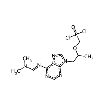 CC(Cn1cnc2c(N=CN(C)C)ncnc21)OCP(=O)(Cl)Cl